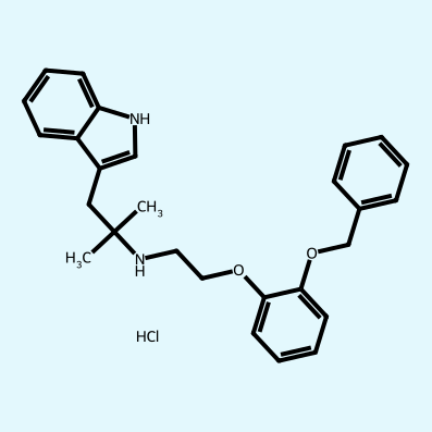 CC(C)(Cc1c[nH]c2ccccc12)NCCOc1ccccc1OCc1ccccc1.Cl